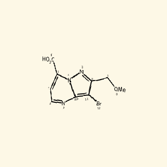 COCc1nn2c(C(=O)O)ccnc2c1Br